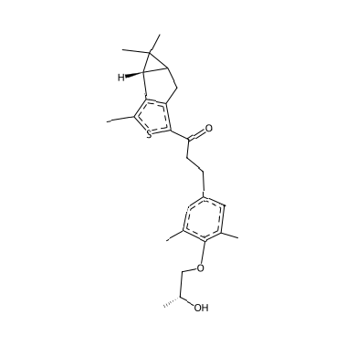 Cc1cc(CCC(=O)c2sc(C)c3c2CC2[C@H]3C2(C)C)cc(C)c1OC[C@@H](C)O